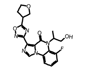 CC(CO)n1c(=O)c2c(-c3noc(C4CCOC4)n3)ncn2c2cccc(F)c21